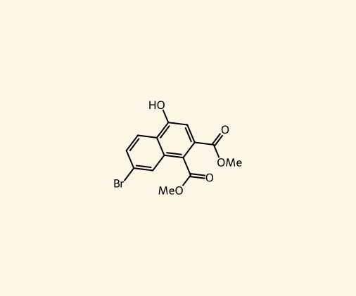 COC(=O)c1cc(O)c2ccc(Br)cc2c1C(=O)OC